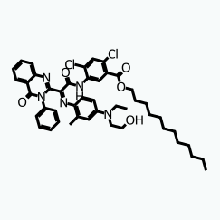 CCCCCCCCCCCCOC(=O)c1cc(NC(=O)/C(=N\c2ccc(N(CC)CCO)cc2C)c2nc3ccccc3c(=O)n2-c2ccccc2)c(Cl)cc1Cl